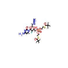 CC(C)(C)C(=O)SCCOP(=O)(OCCSC(=O)C(C)(C)C)OC[C@@H](O)[C@@H](F)[C@@H](OCCN=[N+]=[N-])n1ccc(N)nc1=O